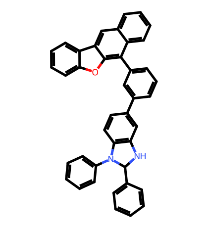 c1ccc(C2Nc3cc(-c4cccc(-c5c6ccccc6cc6c5oc5ccccc56)c4)ccc3N2c2ccccc2)cc1